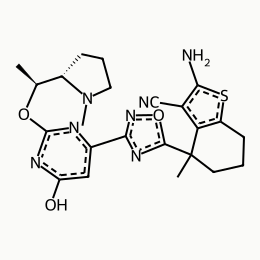 C[C@H](Oc1nc(O)cc(-c2noc(C3(C)CCCc4sc(N)c(C#N)c43)n2)n1)[C@@H]1CCCN1C